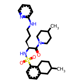 CC1CCN(C(=O)[C@H](CCCNc2ccccn2)NS(=O)(=O)c2cccc3c2CCC(C)C3)CC1